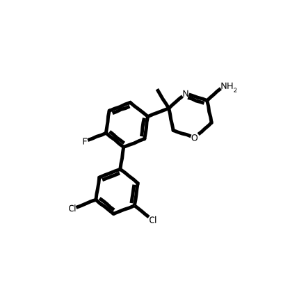 CC1(c2ccc(F)c(-c3cc(Cl)cc(Cl)c3)c2)COCC(N)=N1